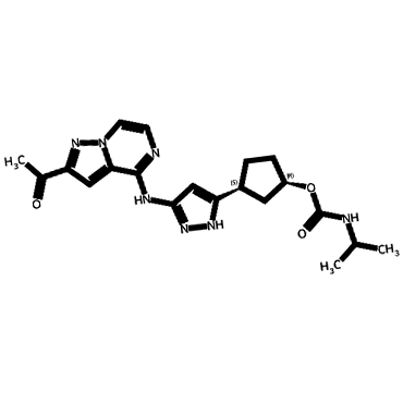 CC(=O)c1cc2c(Nc3cc([C@H]4CC[C@@H](OC(=O)NC(C)C)C4)[nH]n3)nccn2n1